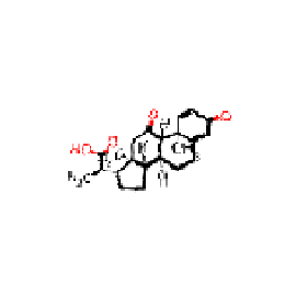 CC(C(=O)O)[C@H]1CC[C@H]2[C@@H]3CCC4=CC(=O)C=C[C@]4(C)[C@H]3C(=O)C[C@]12C